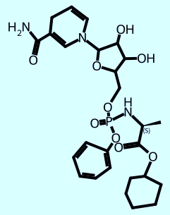 C[C@H](NP(=O)(OCC1OC(N2C=CCC(C(N)=O)=C2)C(O)C1O)Oc1ccccc1)C(=O)OC1CCCCC1